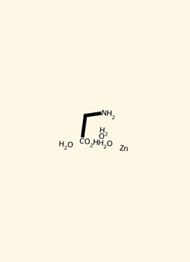 NCC(=O)O.O.O.O.[Zn]